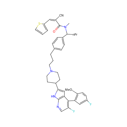 CCCC(c1ccc(CCCN2CCC(c3cc4c(-c5cc(F)ccc5OC)c(F)cnc4[nH]3)CC2)cc1)N(C)C(=O)/C(C#N)=C\c1cccs1